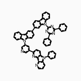 c1ccc(-c2nc(-c3ccccc3)nc(-n3c4ccccc4c4ccc(-c5ccc6c(c5)c5ccccc5n6-c5cncc(-c6ccc7c(n6)c6ncccc6n7-c6ccccc6)c5)cc43)n2)cc1